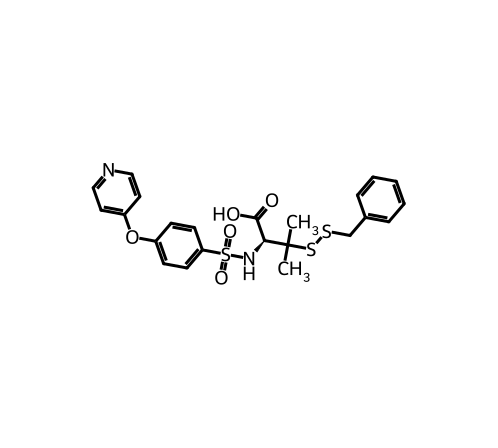 CC(C)(SSCc1ccccc1)[C@@H](NS(=O)(=O)c1ccc(Oc2ccncc2)cc1)C(=O)O